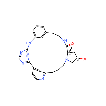 O=C1NCCc2cccc(c2)Nc2ncnc(n2)-c2ccnc(c2)CCCN2C[C@H](O)C[C@@H]12